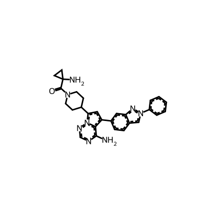 Nc1ncnn2c(C3CCN(C(=O)C4(N)CC4)CC3)cc(-c3ccc4cn(-c5ccccc5)nc4c3)c12